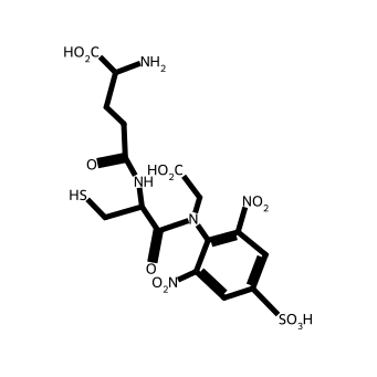 NC(CCC(=O)NC(CS)C(=O)N(CC(=O)O)c1c([N+](=O)[O-])cc(S(=O)(=O)O)cc1[N+](=O)[O-])C(=O)O